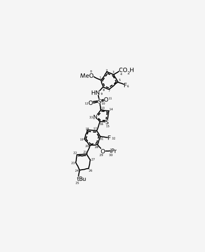 COc1cc(C(=O)O)c(F)cc1NS(=O)(=O)c1csc(-c2ccc(C3=CCC(C(C)(C)C)CC3)c(OC(C)C)c2F)n1